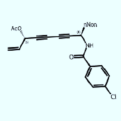 C=C[C@@H](C#CC#C[C@@H](CCCCCCCCC)NC(=O)c1ccc(Cl)cc1)OC(C)=O